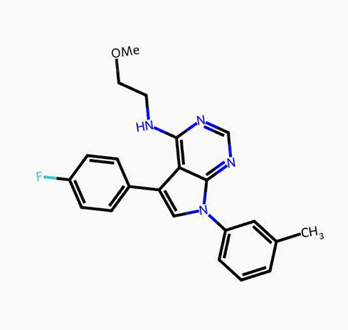 COCCNc1ncnc2c1c(-c1ccc(F)cc1)cn2-c1cccc(C)c1